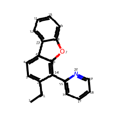 CCc1ccc2c(oc3ccccc32)c1-c1ccccn1